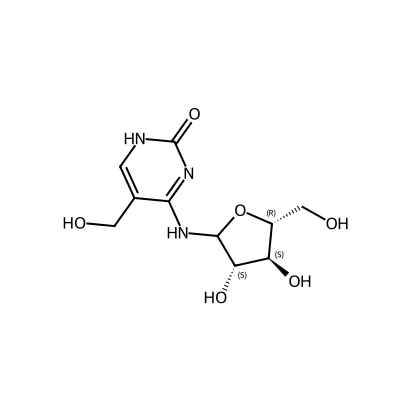 O=c1nc(NC2O[C@H](CO)[C@@H](O)[C@@H]2O)c(CO)c[nH]1